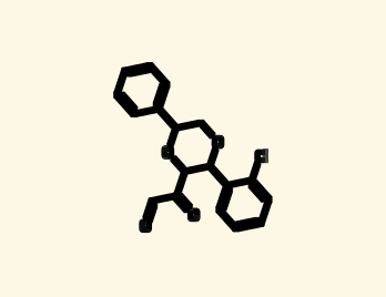 O=CC(=O)C1OC(c2ccccc2)COC1c1ccccc1Cl